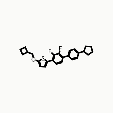 Fc1c(-c2ccc(C3CCCC3)cc2)ccc(-c2ccc(OCC3CCC3)s2)c1F